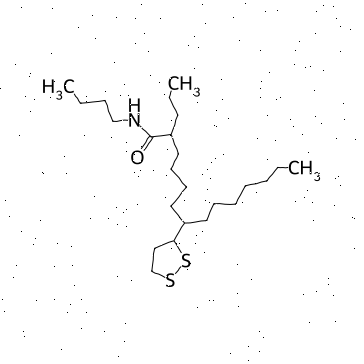 CCCCCCCC(CCCCC(CCC)C(=O)NCCCC)C1CCSS1